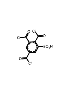 O=C(Cl)c1cc(C(=O)Cl)c(C(=O)Cl)c(S(=O)(=O)O)c1